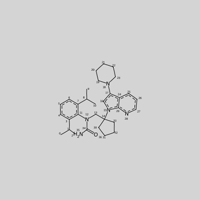 CC(C)c1cccc(C(C)C)c1N(CC1(n2cc(N3CCCCC3)c3cccnc32)CCCC1)C(N)=O